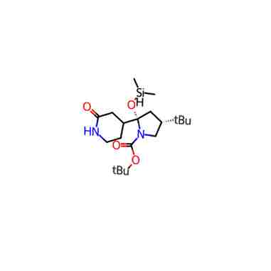 C[SiH](C)O[C@]1(C2CCNC(=O)C2)C[C@H](C(C)(C)C)CN1C(=O)OC(C)(C)C